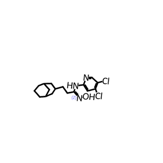 O/N=C(/CCC1CC2CCCC(C2)C1)Nc1cc(Cl)c(Cl)cn1